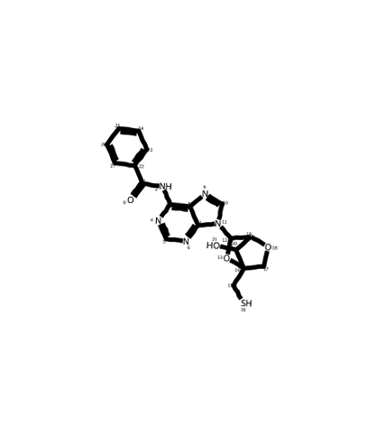 O=C(Nc1ncnc2c1ncn2C1OC2(CS)COC1C2O)c1ccccc1